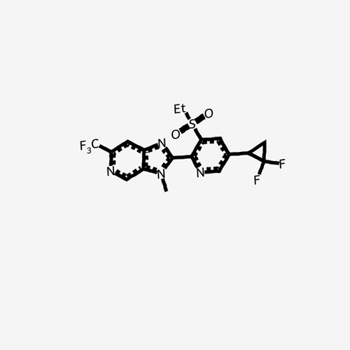 CCS(=O)(=O)c1cc(C2CC2(F)F)cnc1-c1nc2cc(C(F)(F)F)ncc2n1C